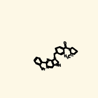 CC(C)c1ccccc1-c1ncc2c(n1)N(Cc1ccc(C(=O)N3CCC[C@@H]3C)cc1)CN2